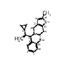 C=C(C1CC1)C(c1ccccc1F)N1CCc2sc(C)cc2C1